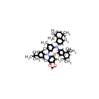 Cc1cc2c3c(c1)N(c1c(C)cc(C(C)(C)C)cc1C)c1cc4c(cc1B3c1cc3c(cc1N2c1ccc2c(c1)C(C)(C)CCC2(C)C)C(C)(C)CCC3(C)C)OCO4